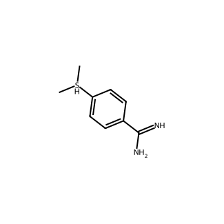 C[SH](C)c1ccc(C(=N)N)cc1